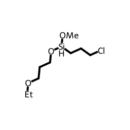 CCOCCCO[SiH](CCCCl)OC